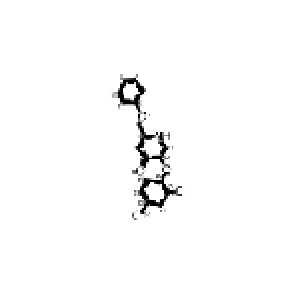 O=c1cc(COc2ccccc2)[nH]cc1Oc1ccc(Cl)cc1Cl